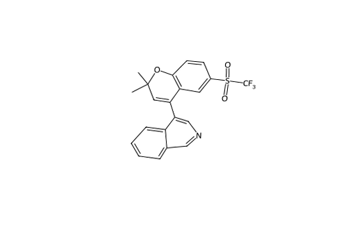 CC1(C)C=C(c2cncc3ccccc23)c2cc(S(=O)(=O)C(F)(F)F)ccc2O1